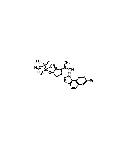 CB(O)N1C[C@H](O[Si](C)(C)C(C)(C)C)C[C@H]1c1nc2ccc3cc(Br)ccc3c2[nH]1